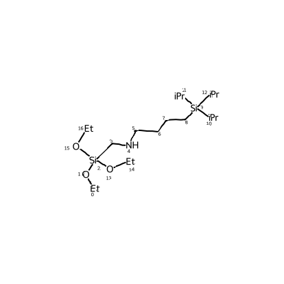 CCO[Si](CNCCCC[Si](C(C)C)(C(C)C)C(C)C)(OCC)OCC